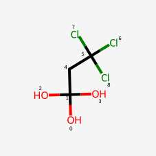 OC(O)(O)CC(Cl)(Cl)Cl